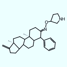 C=C1CCC2C3CCC4C(c5ccccc5)C(=NOC5CCNC5)CC[C@]4(C)C3CC[C@]12C